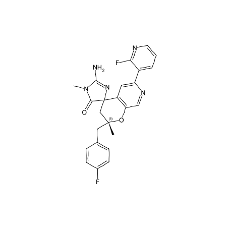 CN1C(=O)C2(C[C@@](C)(Cc3ccc(F)cc3)Oc3cnc(-c4cccnc4F)cc32)N=C1N